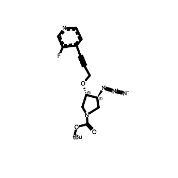 CC(C)(C)OC(=O)N1C[C@H](N=[N+]=[N-])[C@@H](OCC#Cc2ccncc2F)C1